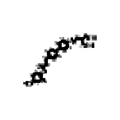 Cc1cc(O)ccc1OC(=O)/C=C/c1ccc(-c2ccc(OCCC(CO)CO)cc2)cc1